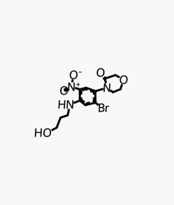 O=C1COCCN1c1cc([N+](=O)[O-])c(NCCCO)cc1Br